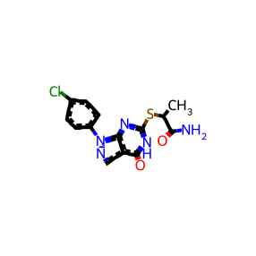 CC(Sc1nc2c(cnn2-c2ccc(Cl)cc2)c(=O)[nH]1)C(N)=O